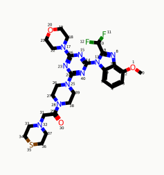 COc1cccc2c1nc(C(F)F)n2-c1nc(N2CCOCC2)nc(N2CCN(C(=O)CN3CCSCC3)CC2)n1